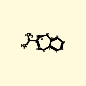 CC(C)C1=NCc2ccccc2CN1